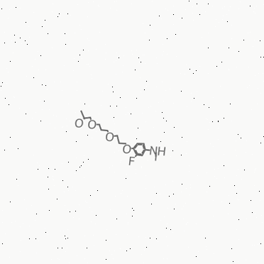 CC(=O)COCCCOCCCOc1ccc(NI)cc1F